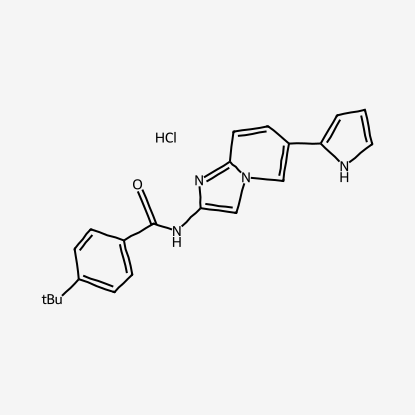 CC(C)(C)c1ccc(C(=O)Nc2cn3cc(-c4ccc[nH]4)ccc3n2)cc1.Cl